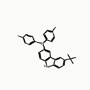 Cc1ccc(N(c2ccc(C)cc2)c2ccc3[nH]c4ccc(C(C)(C)C)cc4c3c2)cc1